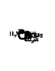 CCOC(=O)C1CCCCC(N)c2cc(ccn2)-c2ccc(NC(=O)OC)cc2N1